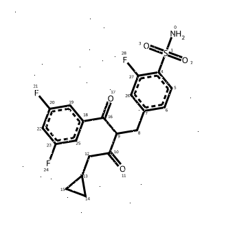 NS(=O)(=O)c1ccc(CC(C(=O)CC2CC2)C(=O)c2cc(F)cc(F)c2)cc1F